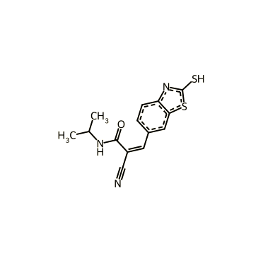 CC(C)NC(=O)C(C#N)=Cc1ccc2nc(S)sc2c1